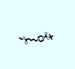 CCOC(=O)CCCCN1CCN(C(=O)OC(C)(C)C)CC1